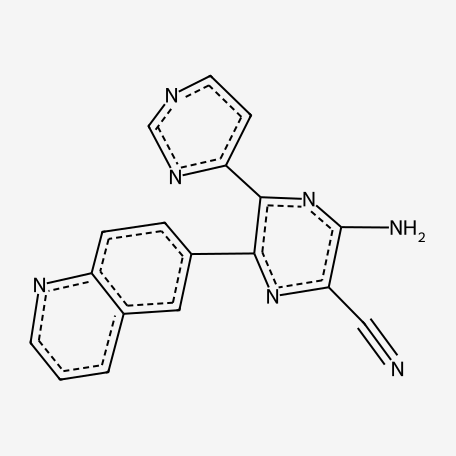 N#Cc1nc(-c2ccc3ncccc3c2)c(-c2ccncn2)nc1N